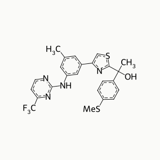 CSc1ccc(C(C)(O)c2nc(-c3cc(C)cc(Nc4nccc(C(F)(F)F)n4)c3)cs2)cc1